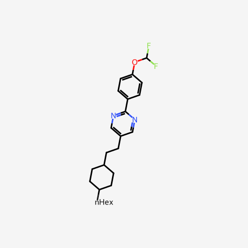 CCCCCCC1CCC(CCc2cnc(-c3ccc(OC(F)F)cc3)nc2)CC1